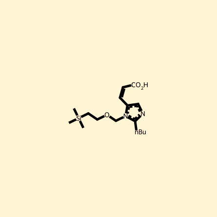 CCCCc1ncc(/C=C\C(=O)O)n1COCC[Si](C)(C)C